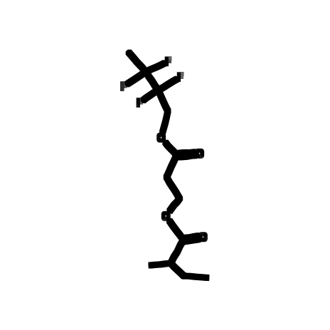 CCC(C)C(=O)OCCC(=O)OCC(F)(F)C(C)(F)F